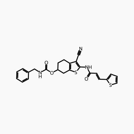 N#Cc1c(NC(=O)C=Cc2cccs2)sc2c1CCC(OC(=O)NCc1ccccc1)C2